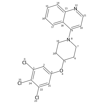 Clc1cc(OC2CCN(c3ccnc4ccccc34)CC2)cc(Cl)c1Cl